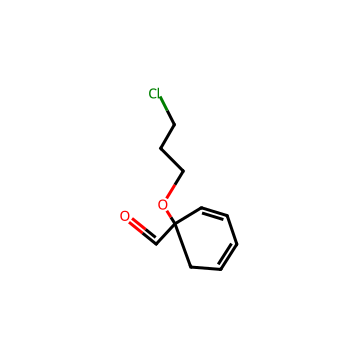 O=CC1(OCCCCl)C=CC=CC1